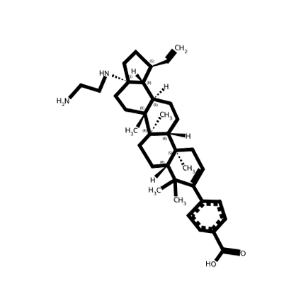 C=C[C@@H]1CC[C@]2(NCCN)CC[C@]3(C)[C@H](CC[C@@H]4[C@@]5(C)CC=C(c6ccc(C(=O)O)cc6)C(C)(C)[C@@H]5CC[C@]43C)[C@@H]12